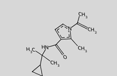 C=C(C)n1ccc(C(=O)NC(C)(C)C2CC2)c1C